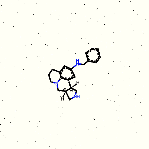 c1ccc(CNc2cc3c4c(c2)[C@@H]2CNC[C@@H]2CN4CCC3)cc1